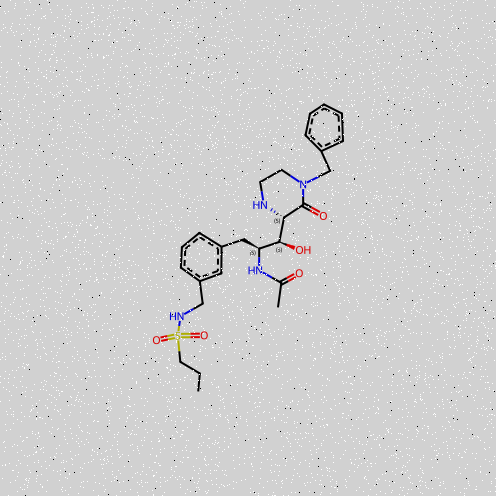 CCCS(=O)(=O)NCc1cccc(C[C@H](NC(C)=O)[C@H](O)[C@@H]2NCCN(Cc3ccccc3)C2=O)c1